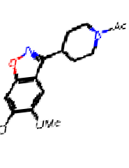 COc1cc2onc(C3CCN(C(C)=O)CC3)c2cc1OC